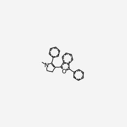 CN1CCC(c2oc(-c3ccccc3)c3ccccc23)=C1c1ccccc1